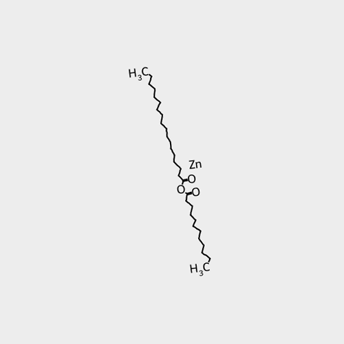 CCCCCCCCCCCCCCCCCC(=O)OC(=O)CCCCCCCCCCC.[Zn]